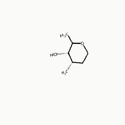 CC1OCC[C@H](C)[C@@H]1O